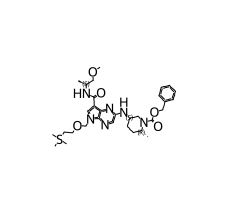 COC[C@H](C)NC(=O)c1cn(COCCS(C)(C)C)c2ncc(N[C@H]3CC[C@@H](C)N(C(=O)OCc4ccccc4)C3)nc12